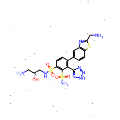 NCc1nc2cc(-c3ccc(S(=O)(=O)NC[C@H](O)CN)c(S(N)(=O)=O)c3-c3nn[nH]n3)ccc2s1